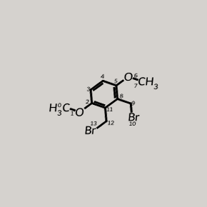 COc1ccc(OC)c(CBr)c1CBr